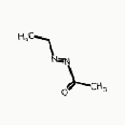 CCN=NC(C)=O